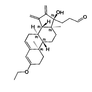 C=C1C(=C)[C@](O)(CCC=O)[C@@]2(C)CC[C@H]3[C@@H](CC=C4C=C(OCC)CC[C@@]43C)[C@H]12